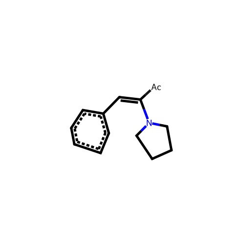 CC(=O)C(=Cc1ccccc1)N1CCCC1